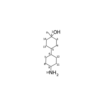 CC1(O)CCC(C2CCC(N)CC2)CC1